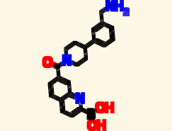 NCc1cccc(C2CCN(C(=O)c3ccc4ccc(B(O)O)nc4c3)CC2)c1